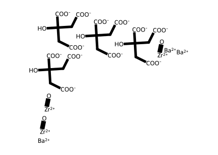 O=C([O-])CC(O)(CC(=O)[O-])C(=O)[O-].O=C([O-])CC(O)(CC(=O)[O-])C(=O)[O-].O=C([O-])CC(O)(CC(=O)[O-])C(=O)[O-].O=C([O-])CC(O)(CC(=O)[O-])C(=O)[O-].[Ba+2].[Ba+2].[Ba+2].[O]=[Zr+2].[O]=[Zr+2].[O]=[Zr+2]